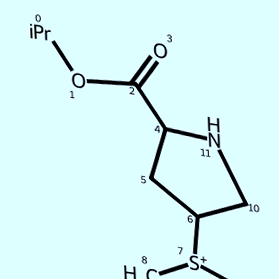 CC(C)OC(=O)C1CC([S+](C)[O-])CN1